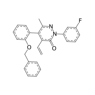 C=Cc1c(-c2ccccc2OCc2ccccc2)c(C)nn(-c2cccc(F)c2)c1=O